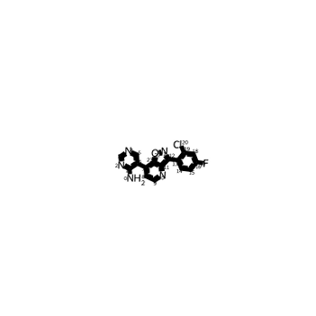 Nc1ncncc1-c1ccnc2c(-c3ccc(F)cc3Cl)noc12